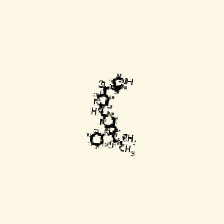 CN(C)C(=O)c1cc2cnc(Nc3ccc(C(=O)N4CC5CC4CN5)cn3)nc2n1C1CCCCC1